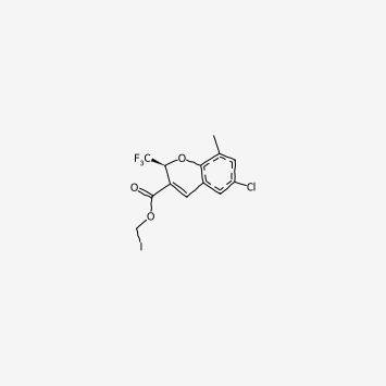 Cc1cc(Cl)cc2c1O[C@H](C(F)(F)F)C(C(=O)OCI)=C2